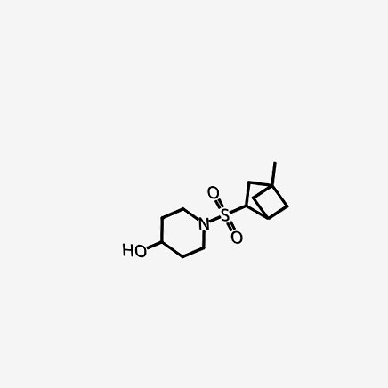 CC12CC(C1)C(S(=O)(=O)N1CCC(O)CC1)C2